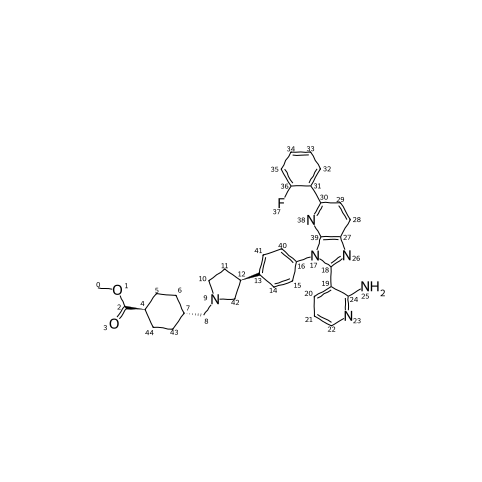 COC(=O)[C@H]1CC[C@H](CN2CC[C@@H](c3ccc(-n4c(-c5cccnc5N)nc5ccc(-c6ccccc6F)nc54)cc3)C2)CC1